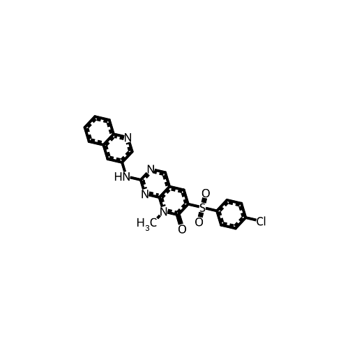 Cn1c(=O)c(S(=O)(=O)c2ccc(Cl)cc2)cc2cnc(Nc3cnc4ccccc4c3)nc21